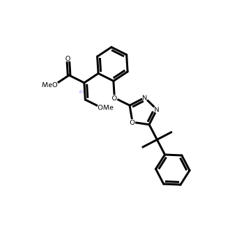 CO/C=C(/C(=O)OC)c1ccccc1Oc1nnc(C(C)(C)c2ccccc2)o1